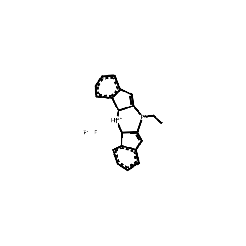 CCP1C2=Cc3ccccc3[CH]2[Hf+2][CH]2C1=Cc1ccccc12.[F-].[F-]